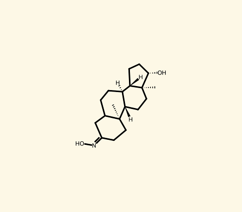 C[C@]12CC[C@H]3[C@@H](CCC4CC(=NO)CC[C@@]43C)[C@@H]1CC[C@@H]2O